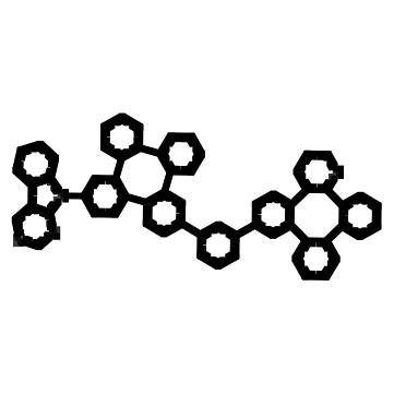 c1cc(-c2ccc3c(c2)-c2ccccc2-c2ccccc2-c2cc(-n4c5ccccc5c5cncnc54)ccc2-3)cc(-c2ccc3c(c2)-c2ccccc2-c2ccccc2-c2ncccc2-3)c1